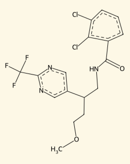 COCCC(CNC(=O)c1cccc(Cl)c1Cl)c1cnc(C(F)(F)F)nc1